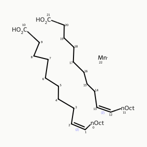 CCCCCCCC/C=C\CCCCCCCC(=O)O.CCCCCCCC/C=C\CCCCCCCC(=O)O.[Mn]